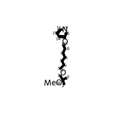 [CH2]C(C)(COCCCCCCCOc1cccnc1)OC